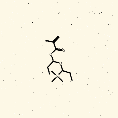 C=C(C)C(=O)OC(CC)OC(CC)[Si](C)(C)C